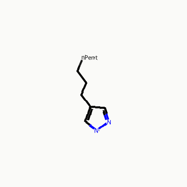 CCCCCCCCC1=C[N]N=C1